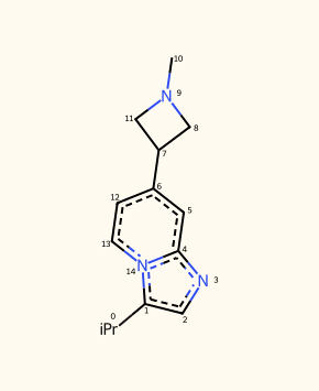 CC(C)c1cnc2cc(C3CN(C)C3)ccn12